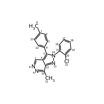 Cc1ccc(-c2c3cnnc(C)c3nn2-c2ccccc2Cl)cc1